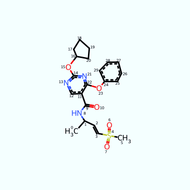 CC(C=CS(C)(=O)=O)NC(=O)c1cnc(OC2CCCC2)nc1Oc1ccccc1